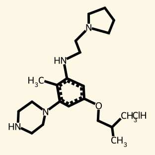 Cc1c(NCCN2CCCC2)cc(OCC(C)C)cc1N1CCNCC1.Cl